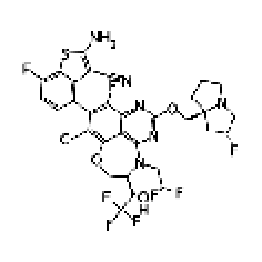 N#Cc1c(N)sc2c(F)ccc(-c3c(Cl)c4c5c(nc(OC[C@@]67CCCN6C[C@H](F)C7)nc5c3F)N(CC(F)F)[C@@H](C(O)C(F)(F)F)CO4)c12